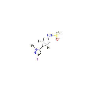 CC(C)n1nc(I)cc1C1[C@H]2CC(N[S+]([O-])C(C)(C)C)C[C@@H]12